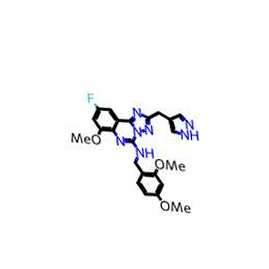 COc1ccc(CNc2nc3c(OC)cc(F)cc3c3nc(Cc4cn[nH]c4)nn23)c(OC)c1